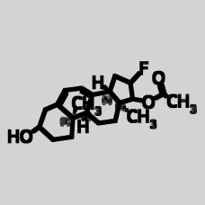 CC(=O)OC1C(F)C[C@H]2C3=CC=C4CC(O)CC[C@]4(C)[C@@H]3CC[C@]12C